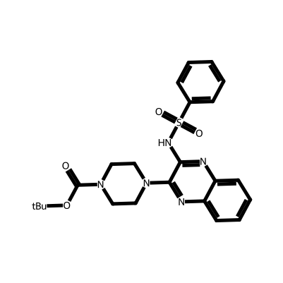 CC(C)(C)OC(=O)N1CCN(c2nc3ccccc3nc2NS(=O)(=O)c2ccccc2)CC1